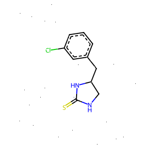 S=C1NCC(Cc2cccc(Cl)c2)N1